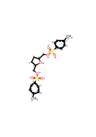 Cc1ccc(S(=O)(=O)OCC2CCC(COS(=O)(=O)c3ccc(C)cc3)O2)cc1